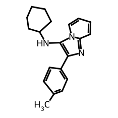 Cc1ccc(-c2nc3ccccn3c2NC2CCCCC2)cc1